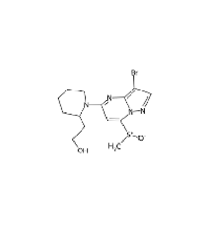 C[S+]([O-])c1cc(N2CCCCC2CCO)nc2c(Br)cnn12